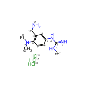 CCNC(=N)Nc1ccc(N(C)CC)c(CN)c1.Cl.Cl.Cl